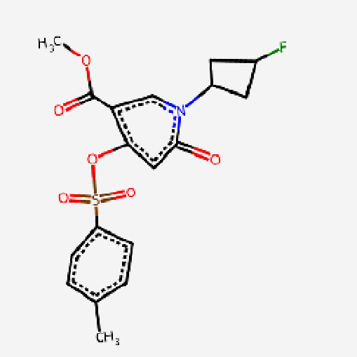 COC(=O)c1cn(C2CC(F)C2)c(=O)cc1OS(=O)(=O)c1ccc(C)cc1